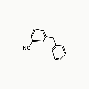 N#Cc1cccc(Cc2ccccc2)c1